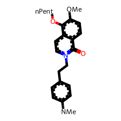 CCCCCOc1c(OC)ccc2c(=O)n(CCc3ccc(NC)cc3)ccc12